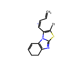 C=C/C=C\c1c(CC)sc2nc3c(n12)C=CCC3